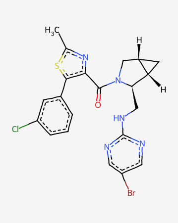 Cc1nc(C(=O)N2C[C@@H]3C[C@@H]3[C@H]2CNc2ncc(Br)cn2)c(-c2cccc(Cl)c2)s1